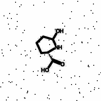 O=C(O)[C@@H]1CCCC(O)N1